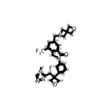 Cn1cnnc1[C@H](F)C1(c2cccc(N3Cc4c(cc(CN5CC6(COC6)C5)cc4C(F)(F)F)C3=O)c2)COC1